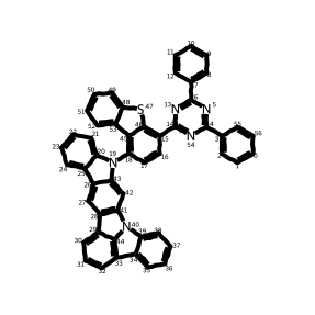 c1ccc(-c2nc(-c3ccccc3)nc(-c3ccc(-n4c5ccccc5c5cc6c7cccc8c9ccccc9n(c6cc54)c87)c4c3sc3ccccc34)n2)cc1